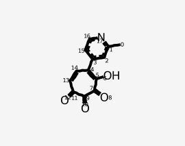 Cc1cc(C2=C(O)C(=O)C(=O)C(=O)C=C2)ccn1